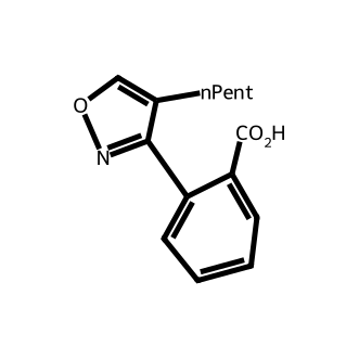 CCCCCc1conc1-c1ccccc1C(=O)O